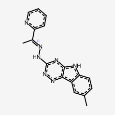 C/C(=N\Nc1nnc2c(n1)[nH]c1ccc(C)cc12)c1ccccn1